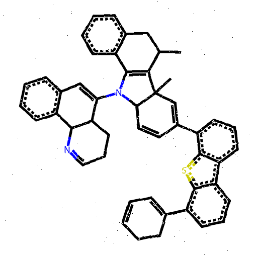 CC1Cc2ccccc2C2=C1C1(C)C=C(c3cccc4c3sc3c(C5=CC=CCC5)cccc34)C=CC1N2C1=Cc2ccccc2C2N=CCCC12